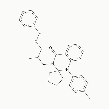 Cc1ccc(N2c3ccccc3C(=O)N(CC(C)CO[CH]c3ccccc3)C23CCCC3)cc1